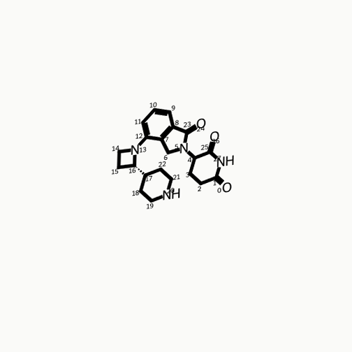 O=C1CCC(N2Cc3c(cccc3N3CC[C@H]3C3CCNCC3)C2=O)C(=O)N1